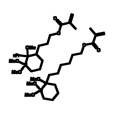 C=C(C)C(=O)OCCCC1CCC[Si](OC)(OC)C1(CCC)OC.C=C(C)C(=O)OCCCCCCC1(OC)CCCC[Si]1(OC)OC